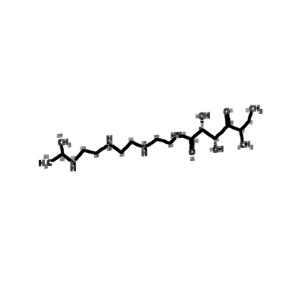 CCC(C)C(=O)[C@H](O)[C@@H](O)C(=O)NCCNCCNCCNC(C)C